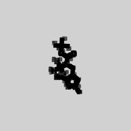 [2H]C([2H])([2H])N(Cc1cn(C)nc1Br)C(=O)OC(C)(C)C